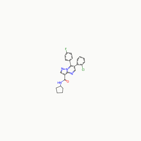 O=C(NC1CCCC1)c1cnn2c(-c3ccc(F)cc3)c(-c3ccccc3Cl)cnc12